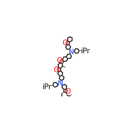 C=Cc1c(/C=C\C)oc2ccc(N(c3ccc(C(C)C)cc3)c3ccc4cc5c(cc4c3)oc3cc4oc6cc7cc(N(c8ccc(C(C)C)cc8)c8ccc9oc%10ccccc%10c9c8)ccc7cc6c4c(C)c35)cc12